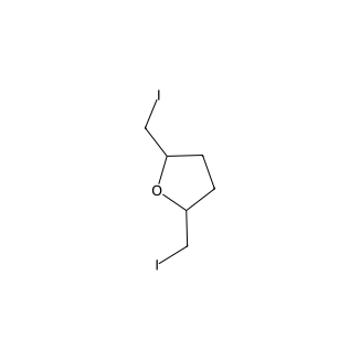 ICC1CCC(CI)O1